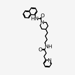 O=C(CCc1ccccn1)NCCCCC1CCN(C(=O)Nc2cccc3ccccc23)CC1